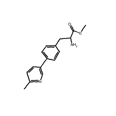 COC(=O)C(N)Cc1ccc(-c2ccc(C)nc2)cc1